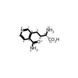 NC(=O)c1ccncc1CC[C@H](N)C(=O)O